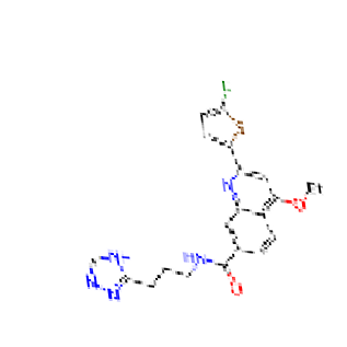 CCOc1cc(-c2ccc(Cl)s2)nc2cc(C(=O)NCCCc3nnc[nH]3)ccc12